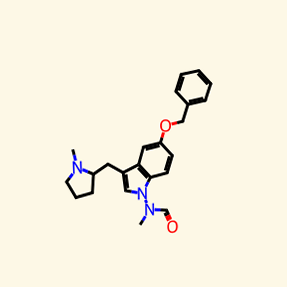 CN1CCCC1Cc1cn(N(C)C=O)c2ccc(OCc3ccccc3)cc12